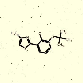 Cc1csc(-c2cccc(SC(C)(C)C)c2Cl)n1